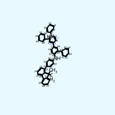 C=C(/C=C(\C=C/Nc1ccccc1)c1ccc(Nc2ccc(-c3cccc4c3C(C)(C)c3ccccc3-4)cc2)c(-c2ccccc2)c1)c1ccccc1